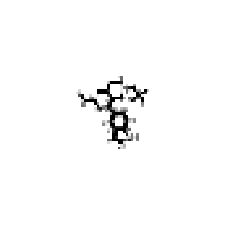 C=C1CCN(CC(C)(C)C)C/C1=C(/CCCC)c1ccc2[nH]ccc2c1